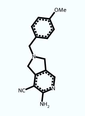 COc1ccc(CN2Cc3cnc(N)c(C#N)c3C2)cc1